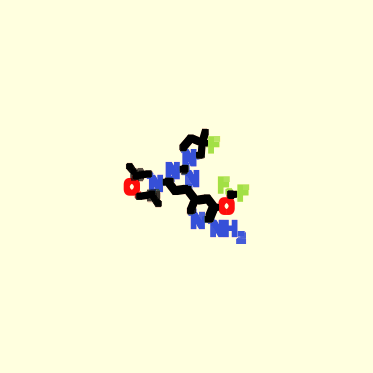 C[C@H]1CN(c2cc(-c3cnc(N)c(OC(F)F)c3)nc(N3CCC(C)(F)C3)n2)[C@@H](C)CO1